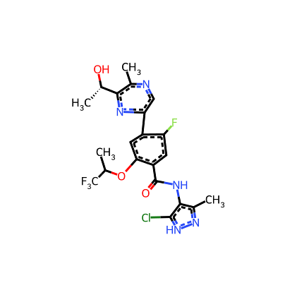 Cc1ncc(-c2cc(OC(C)C(F)(F)F)c(C(=O)Nc3c(C)n[nH]c3Cl)cc2F)nc1[C@H](C)O